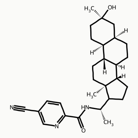 C[C@H](NC(=O)c1ccc(C#N)cn1)C1CC[C@H]2[C@@H]3CC[C@@H]4C[C@](C)(O)CC[C@@H]4[C@H]3CC[C@]12C